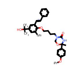 CCCc1cc(C(O)(C(F)(F)F)C(F)(F)F)cc(/C=C/c2ccccc2)c1OCCCCN1COC(C)(c2ccc(OC(C)C)cc2)NC1=O